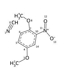 C#N.COc1ccc(OC)c([N+](=O)[O-])c1